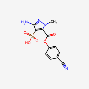 Cn1nc(N)c(S(=O)(=O)O)c1C(=O)Oc1ccc(C#N)cc1